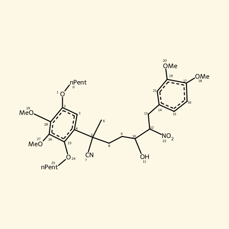 CCCCCOc1cc(C(C)(C#N)CCC(O)C(Cc2ccc(OC)c(OC)c2)[N+](=O)[O-])c(OCCCCC)c(OC)c1OC